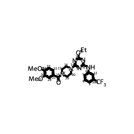 CCOc1nc(Nc2cccc(C(F)(F)F)c2)nc(N2CCN(C(=O)c3ccc(OC)c(OC)c3)CC2)n1